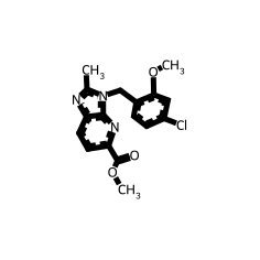 COC(=O)c1ccc2nc(C)n(Cc3ccc(Cl)cc3OC)c2n1